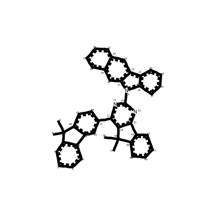 CC1(C)c2ccccc2-c2cc(-c3nc(-n4c5ccccc5c5cc6ccccc6cc54)nc4c3C(C)(C)c3ccccc3-4)ccc21